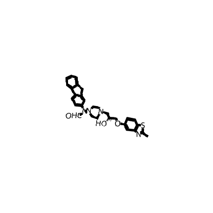 Cc1nc2cc(OC[C@H](O)CN3CCN(N(C=O)c4ccc5c(c4)Cc4ccccc4-5)CC3)ccc2s1